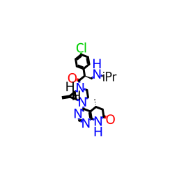 C=C1[C@@H]2[C@H]1N(c1ncnc3c1[C@H](C)CC(=O)N3)CCN2C(=O)[C@H](CNC(C)C)c1ccc(Cl)cc1